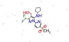 CS(=O)(=O)c1ccc(-n2nc(C(F)F)c(CO)c2NC2CCCC2)nc1